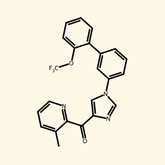 Cc1cccnc1C(=O)c1cn(-c2cccc(-c3ccccc3OC(F)(F)F)c2)cn1